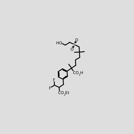 CCOC(=O)C(Cc1cccc(C(C)(CCCC(C)(C)CS(=O)(=O)CCO)C(=O)O)c1)C(F)F